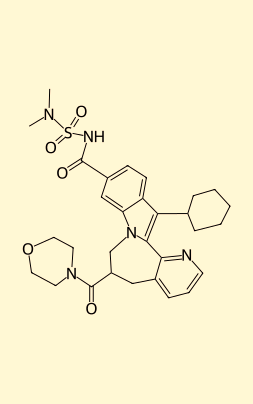 CN(C)S(=O)(=O)NC(=O)c1ccc2c(C3CCCCC3)c3n(c2c1)CC(C(=O)N1CCOCC1)Cc1cccnc1-3